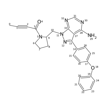 CC#CC(=O)N1CCCC1Cn1nc(-c2ccc(Oc3ccccc3)cc2)c2c(N)ncnc21